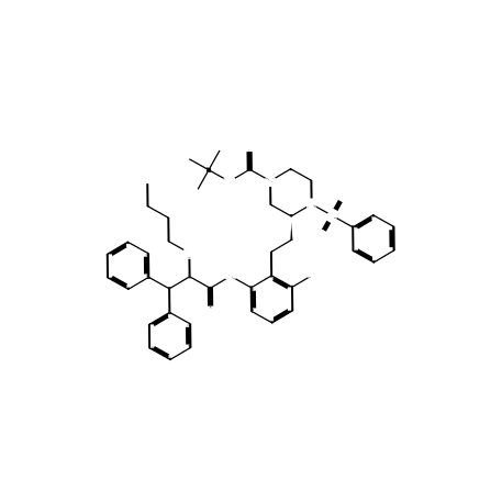 CCCCOC(C(=O)Nc1cccc(F)c1CC[C@H]1CN(C(=O)OC(C)(C)C)CCN1S(=O)(=O)c1ccccc1)C(c1ccccc1)c1ccccc1